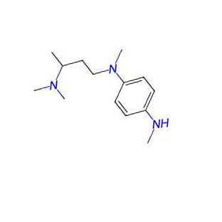 CNc1ccc(N(C)CCC(C)N(C)C)cc1